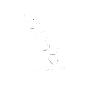 COc1cc(C(=O)NC2CCN(C(=O)OC(C)(C)C)CC2)c(F)cc1N